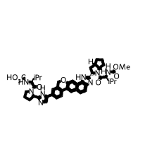 COC(=O)N[C@H](C(=O)N1[C@H](c2nc3ccc4cc5c(cc4c3[nH]2)OCc2cc(-c3cnc(C4CCCN4C(=O)[C@@H](NC(=O)O)C(C)C)[nH]3)ccc2-5)C[C@@H]2CCC[C@@H]21)C(C)C